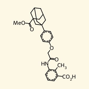 COC(=O)C12CC3CC(C1)CC(c1ccc(OCC(=O)Nc4cccc(C(=O)O)c4C)cc1)(C3)C2